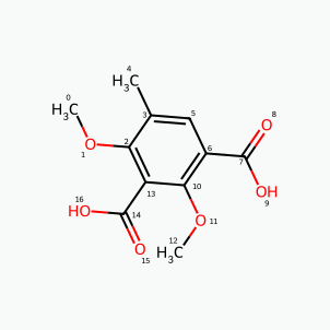 COc1c(C)cc(C(=O)O)c(OC)c1C(=O)O